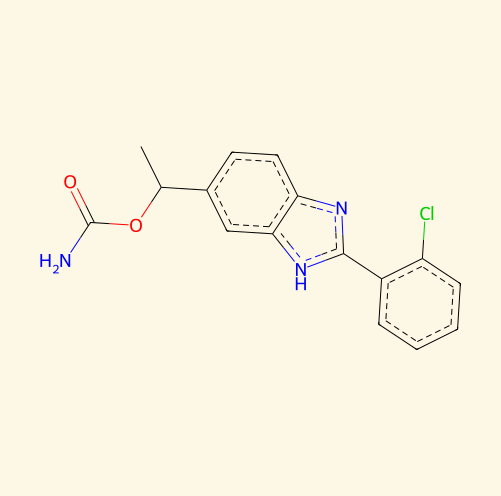 CC(OC(N)=O)c1ccc2nc(-c3ccccc3Cl)[nH]c2c1